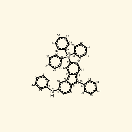 c1ccc(Nc2ccc3c(c2)c2cc([Si](c4ccccc4)(c4ccccc4)c4ccccc4)ccc2n3-c2ccccc2)cc1